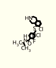 CC[C@H](C)NC(=O)c1ccc(CSc2c(Cl)ccc3c2CCNCC3)cc1F.Cl